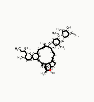 CC[C@H](C)[C@H]1C[C@]2(C=C[C@@H]1C)C[C@@H]1C[C@@H](C/C=C(\C)[C@@H](O[C@@H]3C[C@@H](C)[C@H](O[C@H]4C[C@H](OC)[C@@H](O)[C@H](C)O4)[C@@H](OC)C3)[C@@H](C)/C=C/C=C3\CO[C@@H]4[C@H](O)C(C)=C[C@@H](C(=O)O1)[C@]34O)O2